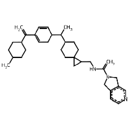 C=C(C1=CCC(C(C)C2CCC3(CC2)CC3CNC(=C)N2Cc3ccncc3C2)C=C1)C1CCC(C)CC1